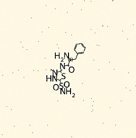 CN1NC(S(N)(=O)=O)SC1=NC(=O)[C@@H](N)Cc1ccccc1